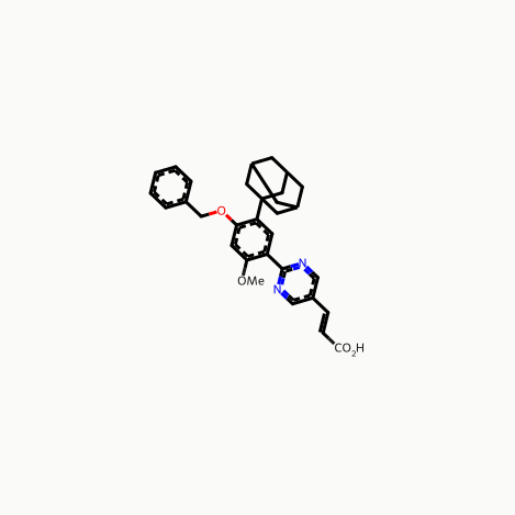 COc1cc(OCc2ccccc2)c(C23CC4CC(CC(C4)C2)C3)cc1-c1ncc(/C=C/C(=O)O)cn1